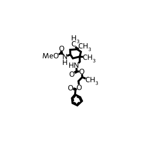 COC(=O)NC1CC(C)(C)CC(C)(CNC(=O)OC(C)COC(=O)c2ccccc2)C1